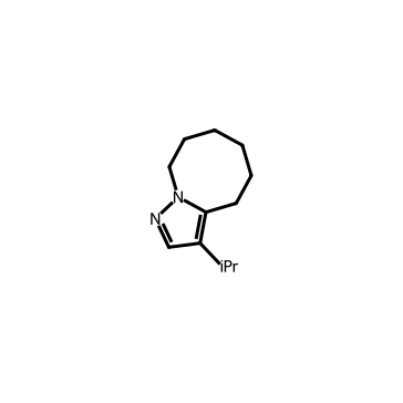 CC(C)c1cnn2c1CCCCCC2